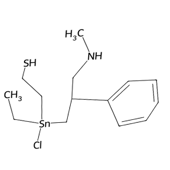 C[CH2][Sn]([Cl])([CH2]CS)[CH2]C(CNC)c1ccccc1